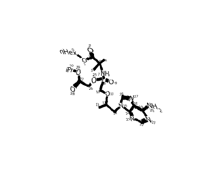 CCCCCCOC(=O)C(C)(C)NP(=O)(COC(C)Cn1cnc2c(N)ncnc21)OCC(=O)OC(C)C